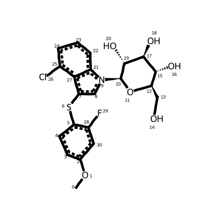 COc1ccc(Sc2cn([C@@H]3O[C@H](CO)[C@@H](O)[C@H](O)[C@H]3O)c3cccc(Cl)c23)c(F)c1